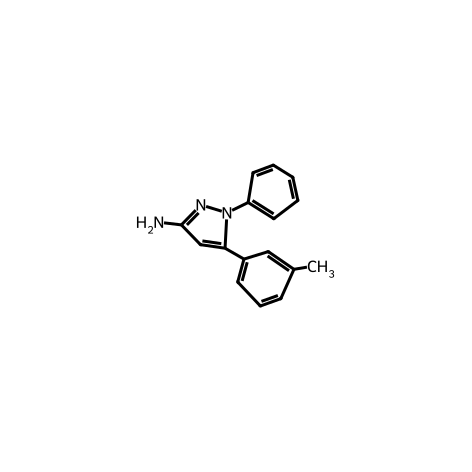 Cc1cccc(-c2cc(N)nn2-c2ccccc2)c1